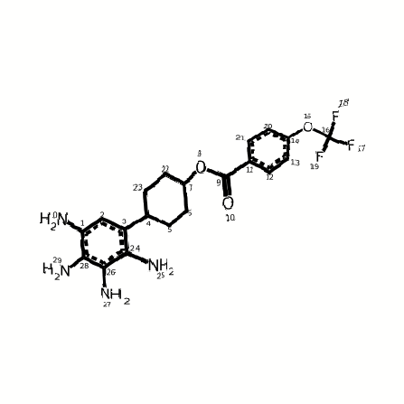 Nc1cc(C2CCC(OC(=O)c3ccc(OC(F)(F)F)cc3)CC2)c(N)c(N)c1N